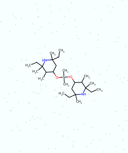 CCC1(C)CC(O[Si](C)(C)OC2CC(C)(CC)NC(C)(CC)C2C)C(C)C(C)(CC)N1